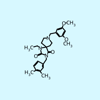 CCN1C(=O)N(Cc2ccc(C)c(C)c2)C(=O)C12CCN(Cc1cc(OC)cc(OC)c1)CC2